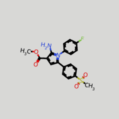 COC(=O)c1cc(-c2ccc(S(C)(=O)=O)cc2)n(-c2ccc(F)cc2)c1N